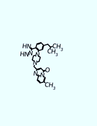 Cc1ccc2nc(CN3CCN(c4cc(CC(C)C)ccc4C(=N)N=N)CC3)cc(=O)n2c1